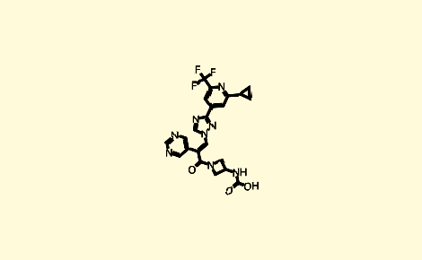 O=C(O)NC1CN(C(=O)/C(=C/n2cnc(-c3cc(C4CC4)nc(C(F)(F)F)c3)n2)c2cncnc2)C1